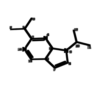 CC(C)C1=NC2C(C=CN2C(C)C)C=N1